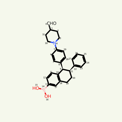 O=CC1CCN(c2ccc([C@@H]3c4ccc(B(O)O)cc4CC[C@@H]3c3ccccc3)cc2)CC1